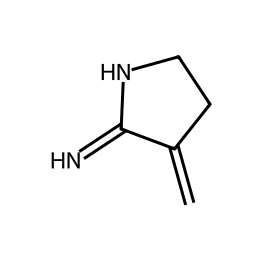 C=C1CCNC1=N